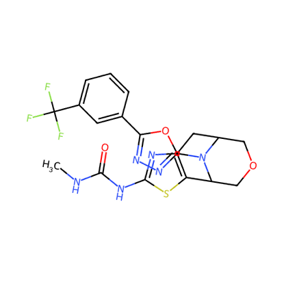 CNC(=O)Nc1nc2c(s1)C1COCC(C2)N1c1nnc(-c2cccc(C(F)(F)F)c2)o1